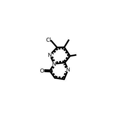 Cc1c(Cl)nn2c(=O)ccnc2c1C